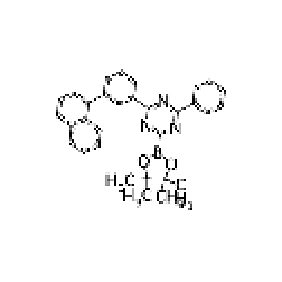 CC1(C)OB(c2nc(-c3ccccc3)nc(-c3cccc(-c4cccc5ccccc45)c3)n2)OC1(C)C